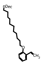 C=Cc1ccccc1OCCCCCCCCCCCCCCCCCCCCC